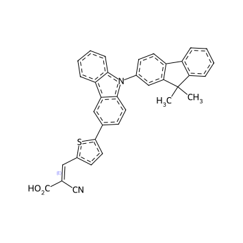 CC1(C)c2ccccc2-c2ccc(-n3c4ccccc4c4cc(-c5ccc(/C=C(\C#N)C(=O)O)s5)ccc43)cc21